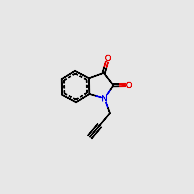 C#CCN1C(=O)C(=O)c2ccccc21